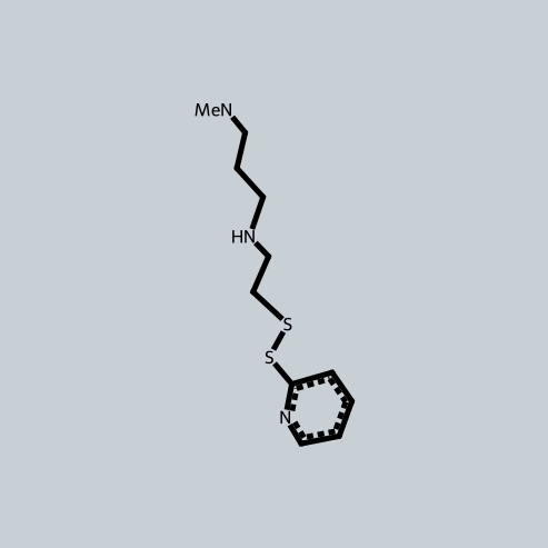 CNCCCNCCSSc1ccccn1